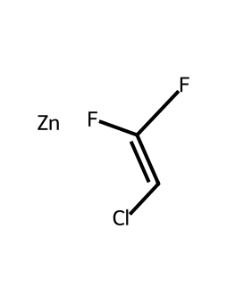 FC(F)=CCl.[Zn]